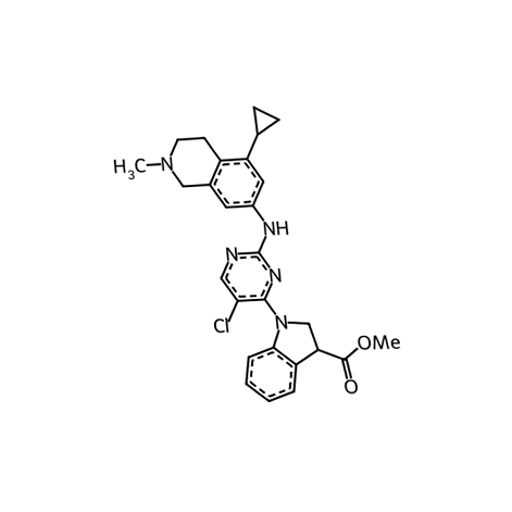 COC(=O)C1CN(c2nc(Nc3cc4c(c(C5CC5)c3)CCN(C)C4)ncc2Cl)c2ccccc21